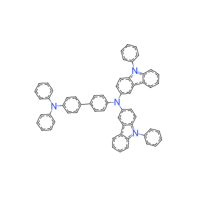 c1ccc(N(c2ccccc2)c2ccc(-c3ccc(N(c4ccc5c(c4)c4ccccc4n5-c4ccccc4)c4ccc5c(c4)c4ccccc4n5-c4ccccc4)cc3)cc2)cc1